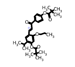 CCCOc1cc(OC(=O)C(C)(C)C)c(C(C)C)cc1/C=C/C(=O)c1ccc(OC(=O)C(C)(C)C)cc1